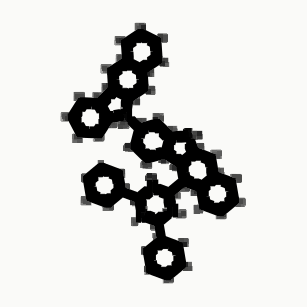 c1ccc(-c2nc(-c3ccccc3)nc(-c3c4ccccc4cc4sc5cc(-n6c7ccccc7c7cc8ccccc8cc76)ccc5c34)n2)cc1